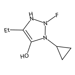 CCC1=C(O)N(C2CC2)N(F)N1